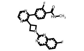 CNC(=O)c1ccc(-c2nccnc2C2CN(c3ncc4ccc(F)cc4n3)C2)cc1F